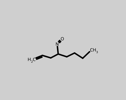 C=CCC(CCCC)N=O